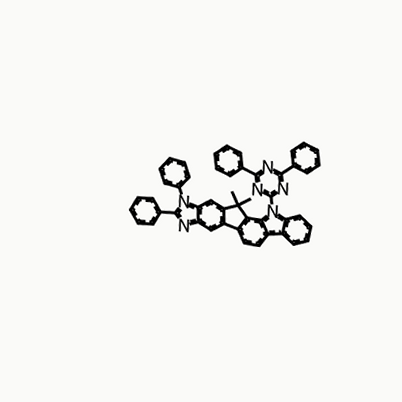 CC1(C)c2cc3c(cc2-c2ccc4c5ccccc5n(-c5nc(-c6ccccc6)nc(-c6ccccc6)n5)c4c21)nc(-c1ccccc1)n3-c1ccccc1